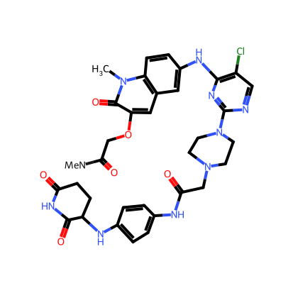 CNC(=O)COc1cc2cc(Nc3nc(N4CCN(CC(=O)Nc5ccc(NC6CCC(=O)NC6=O)cc5)CC4)ncc3Cl)ccc2n(C)c1=O